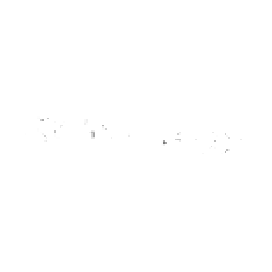 Cc1cc[n+](CCCC(=O)NCCSSCCNC(=O)CCC[n+]2ccc(C)cc2)cc1